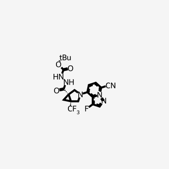 CC(C)(C)OC(=O)NNC(=O)[C@]12CN(c3ccc(C#N)n4ncc(F)c34)C[C@@]1(C(F)(F)F)C2